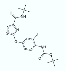 CC(C)(C)NC(=O)c1csc(Oc2ccc(NC(=O)OC(C)(C)C)c(F)c2)n1